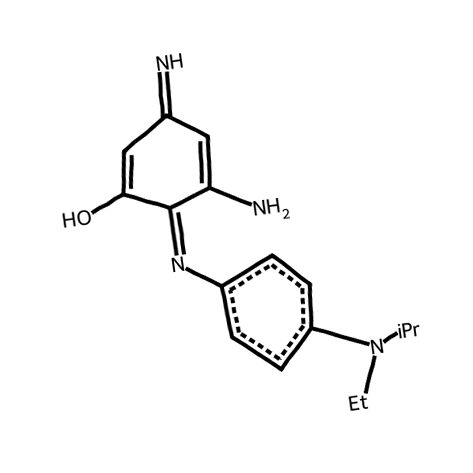 CCN(c1ccc(N=C2C(N)=CC(=N)C=C2O)cc1)C(C)C